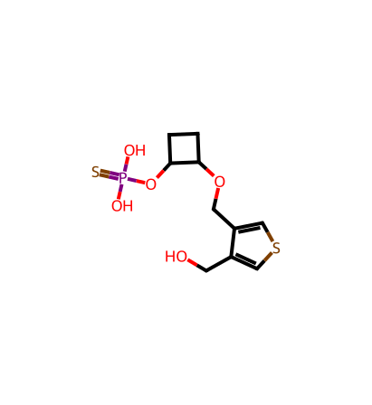 OCc1cscc1COC1CCC1OP(O)(O)=S